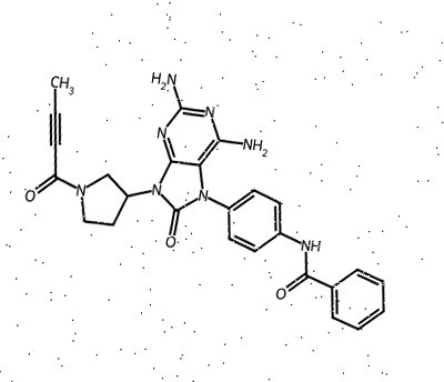 CC#CC(=O)N1CCC(n2c(=O)n(-c3ccc(NC(=O)c4ccccc4)cc3)c3c(N)nc(N)nc32)C1